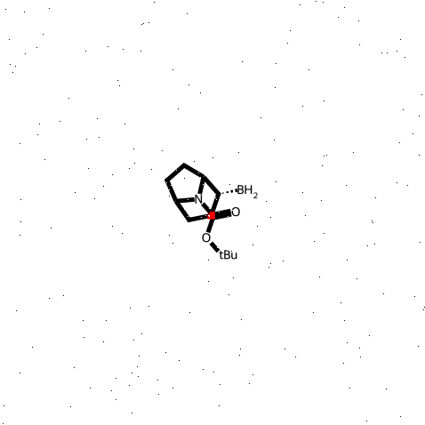 B[C@@H]1CCC2CCC1N2C(=O)OC(C)(C)C